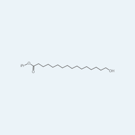 CC(C)OC(=O)CCCCCCCCCCCCCCCO